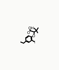 CCc1ccc(OC(C(=O)O)C(C)(C)C)c(I)c1